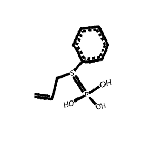 C=CCS(c1ccccc1)=P(O)(O)O